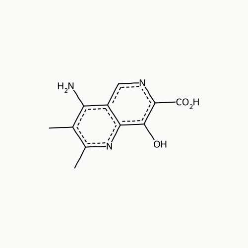 Cc1nc2c(O)c(C(=O)O)ncc2c(N)c1C